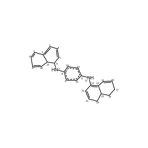 C1=CC2=CC=CC(Nc3ccc(NC4=C5C=CCCC5CC=C4)cc3)C2C=C1